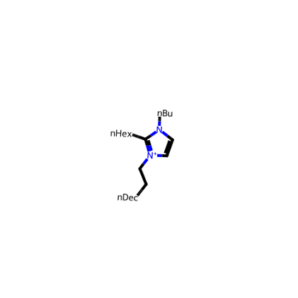 CCCCCCCCCCCC[n+]1ccn(CCCC)c1CCCCCC